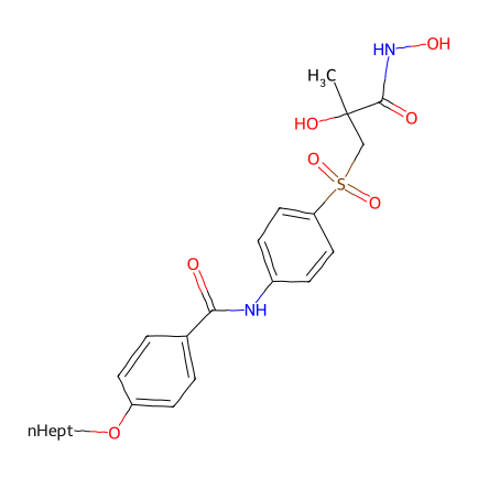 CCCCCCCOc1ccc(C(=O)Nc2ccc(S(=O)(=O)CC(C)(O)C(=O)NO)cc2)cc1